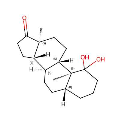 C[C@@]12[C@H](CCCC1(O)O)CC[C@@H]1[C@@H]2CC[C@]2(C)C(=O)CC[C@@H]12